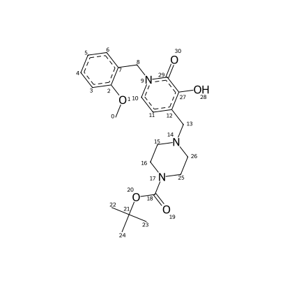 COc1ccccc1Cn1ccc(CN2CCN(C(=O)OC(C)(C)C)CC2)c(O)c1=O